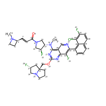 CN1CC[C@@H]1/C=C/C(=O)N1C[C@H](F)[C@@H](N(C)c2nc(OC[C@@]34CCCN3C[C@H](F)C4)nc3c(F)c(-c4cccc5ccc(F)c(Cl)c45)ncc23)C1